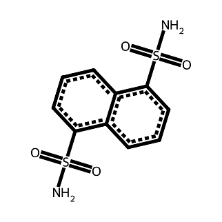 NS(=O)(=O)c1cccc2c(S(N)(=O)=O)cccc12